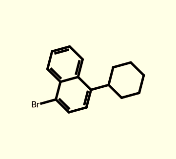 Brc1ccc(C2CCCCC2)c2ccccc12